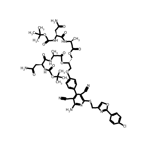 C[C@H](NC(=O)[C@H](CC(N)=O)NC(=O)OC(C)(C)C)C(=O)OC[C@H](COc1ccc(-c2c(C#N)c(N)nc(SCc3coc(-c4ccc(Cl)cc4)n3)c2C#N)cc1)OC(=O)[C@H](C)NC(=O)[C@H](CC(N)=O)NC(=O)OC(C)(C)C